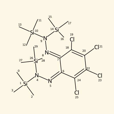 C[Si](C)(C)N(N=C1C(=NN([Si](C)(C)C)[Si](C)(C)C)C(Cl)=C(Cl)C(Cl)=C1Cl)[Si](C)(C)C